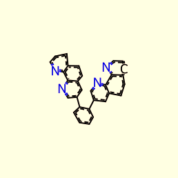 c1ccc(-c2cnc3c(ccc4cccnc43)c2)c(-c2cnc3c(ccc4cccnc43)c2)c1